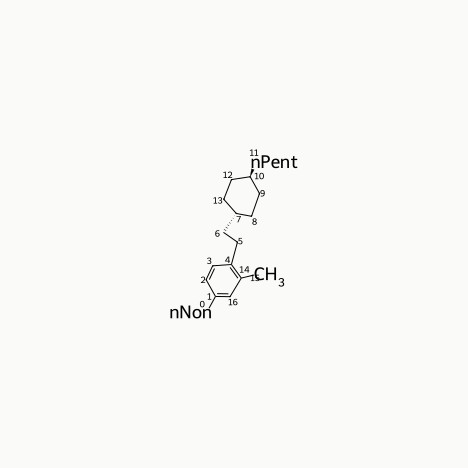 CCCCCCCCCc1ccc(CC[C@H]2CC[C@H](CCCCC)CC2)c(C)c1